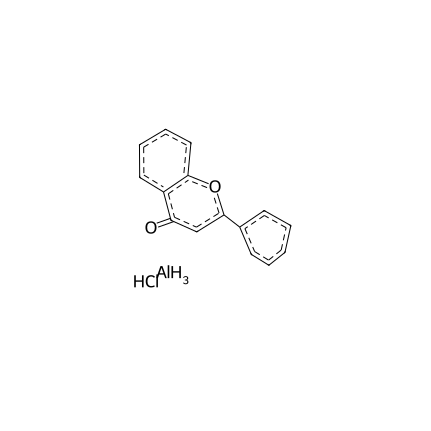 Cl.O=c1cc(-c2ccccc2)oc2ccccc12.[AlH3]